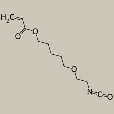 C=CC(=O)OCCCCCOCCN=C=O